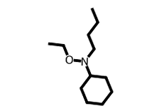 CCCCN(OCC)C1CCCCC1